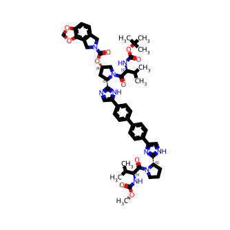 COC(=O)N[C@H](C(=O)N1CCC[C@H]1c1nc(-c2ccc(-c3ccc(-c4cnc([C@@H]5C[C@@H](OC(=O)N6Cc7ccc8c(c7C6)OCO8)CN5C(=O)[C@@H](NC(=O)OC(C)(C)C)C(C)C)[nH]4)cc3)cc2)c[nH]1)C(C)C